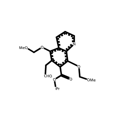 COCOc1c(CC=O)c(C(=O)OC(C)C)c(OCOC)c2ncccc12